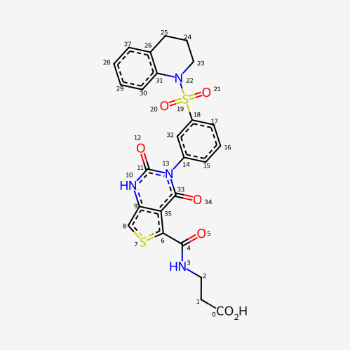 O=C(O)CCNC(=O)c1scc2[nH]c(=O)n(-c3cccc(S(=O)(=O)N4CCCc5ccccc54)c3)c(=O)c12